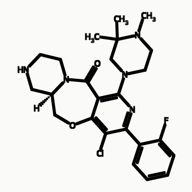 CN1CCN(c2nc(-c3ccccc3F)c(Cl)c3c2C(=O)N2CCNC[C@@H]2CO3)CC1(C)C